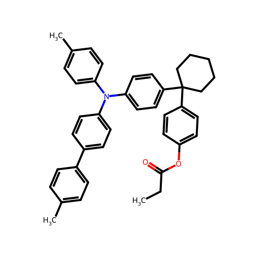 CCC(=O)Oc1ccc(C2(c3ccc(N(c4ccc(C)cc4)c4ccc(-c5ccc(C)cc5)cc4)cc3)CCCCC2)cc1